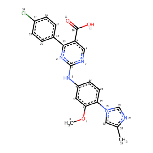 COc1cc(Nc2ncc(C(=O)O)c(-c3ccc(Cl)cc3)n2)ccc1-n1cnc(C)c1